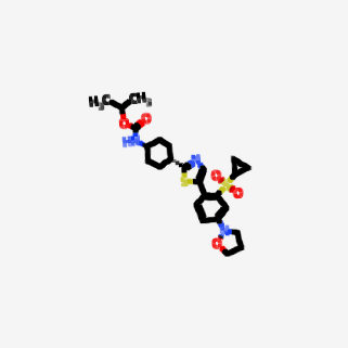 CC(C)OC(=O)N[C@H]1CC[C@H](c2ncc(-c3ccc(N4CCCO4)cc3S(=O)(=O)C3CC3)s2)CC1